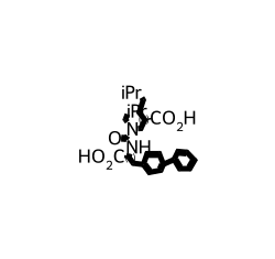 CC(C)CC[C@@H](CN(CC(C)C)C(=O)N[C@@H](Cc1ccc(-c2ccccc2)cc1)C(=O)O)C(=O)O